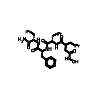 CC(C)CC(CC(=O)NO)C(=O)N[C@@H](CC(C)C)C(=O)N[C@@H](Cc1ccccc1)C(=O)N[C@@H](CC(C)C)C(N)=O